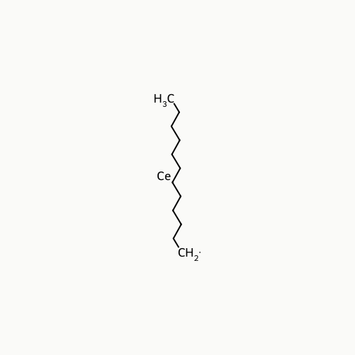 [CH2]CCCCCCCCCCC.[Ce]